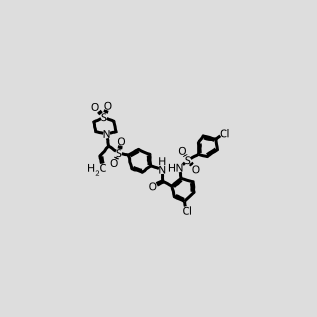 C=CC(N1CCS(=O)(=O)CC1)S(=O)(=O)c1ccc(NC(=O)c2cc(Cl)ccc2NS(=O)(=O)c2ccc(Cl)cc2)cc1